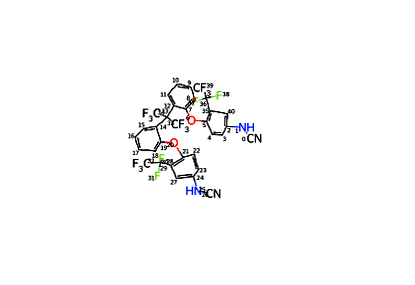 N#CNc1ccc(Oc2ccccc2C(c2ccccc2Oc2ccc(NC#N)cc2C(F)(F)C(F)(F)F)(C(F)(F)F)C(F)(F)F)c(C(F)(F)C(F)(F)F)c1